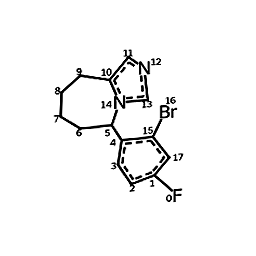 Fc1ccc(C2CCCCc3cncn32)c(Br)c1